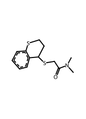 CN(C)C(=O)CSC1CCSc2ccccc21